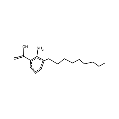 CCCCCCCCCc1cccc(C(=O)O)c1N